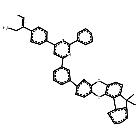 C/C=C(\CN)c1ccc(-c2cc(-c3cccc(-c4ccc5c(c4)Oc4ccc6c(c4O5)-c4ccccc4C6(C)C)c3)nc(-c3ccccc3)n2)cc1